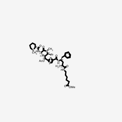 CC[C@H](C)[C@H](NC(=O)[C@H]1CCCCN1C)C(=O)N(C)[C@H](C[C@@H](OC(C)=O)c1nc(C(=O)N[C@@H](Cc2ccccc2)C[C@H](C)C(=O)NCCCCCC(=O)OC)cs1)C(C)C